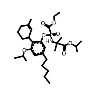 CCCCCc1cc(OC(C)C)c(C2C=C(C)CCC2)c(OP(=O)(NC(C)(C)C(=O)OC(C)C)C(=O)OCC)c1